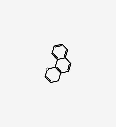 C1=COc2c(ccc3ccccc23)C1